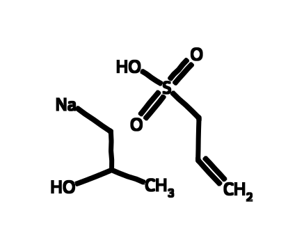 C=CCS(=O)(=O)O.CC(O)[CH2][Na]